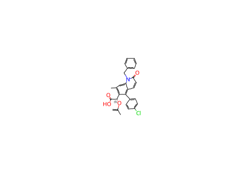 C=C(C)O[C@H](C(=O)O)c1c(C)cc2c(ccc(=O)n2Cc2ccccc2)c1-c1ccc(Cl)cc1